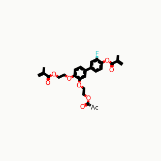 C=C(C)C(=O)OCCOc1ccc(-c2ccc(OC(=O)C(=C)C)c(F)c2)cc1OCCOC(=O)C(C)=O